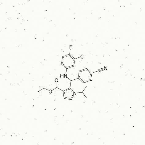 CCOC(=O)c1ccn(C(C)C)c1C(Nc1ccc(F)c(Cl)c1)c1ccc(C#N)cc1